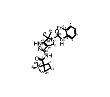 CCc1ccccc1NC(=O)N1Cc2c(NC(=O)C3(S(C)(C)C)CCC3)n[nH]c2C1(C)C